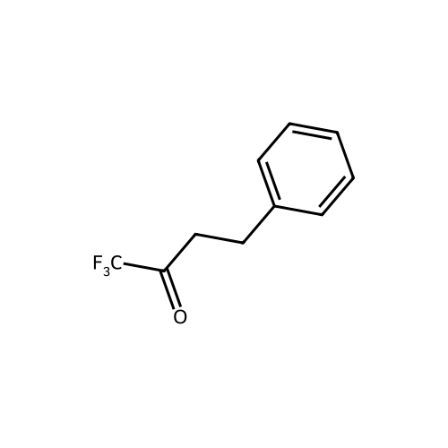 O=C(CCc1ccccc1)C(F)(F)F